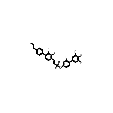 CCCc1ccc(-c2ccc(/C=C/C(F)(F)Oc3ccc(-c4cc(F)c(F)c(F)c4)c(F)c3)c(F)c2F)cc1